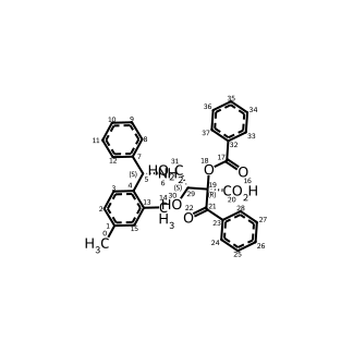 Cc1ccc([C@@H](N)c2ccccc2)c(C)c1.O=C(O[C@@](C(=O)O)(C(=O)c1ccccc1)[C@H](O)C(=O)O)c1ccccc1